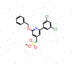 COS(=O)(=O)Cc1cc(OCc2ccccc2)nc(-c2cc(Cl)cc(Cl)c2)c1